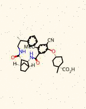 COc1cc(C#N)c(O[C@H]2CC[C@@](C)(C(=O)O)CC2)cc1C(=O)N[C@@H]1[C@H]2CC[C@H](C2)[C@@H]1C(=O)NC[C@H](C)c1ccccc1